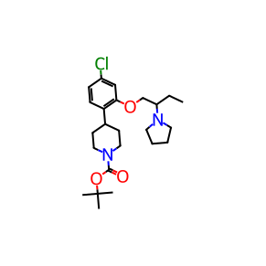 CCC(COc1cc(Cl)ccc1C1CCN(C(=O)OC(C)(C)C)CC1)N1CCCC1